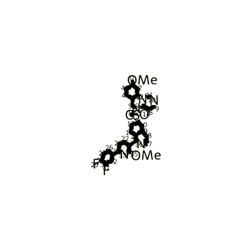 COc1ccc(CN(c2ccncn2)S(=O)(=O)c2ccc3c(-c4ccc(-c5ccc(F)c(F)c5)nc4OC)nccc3c2)cc1